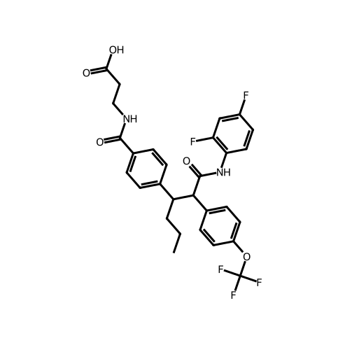 CCCC(c1ccc(C(=O)NCCC(=O)O)cc1)C(C(=O)Nc1ccc(F)cc1F)c1ccc(OC(F)(F)F)cc1